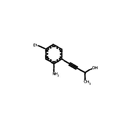 CCc1ccc(C#CC(C)O)c(N)c1